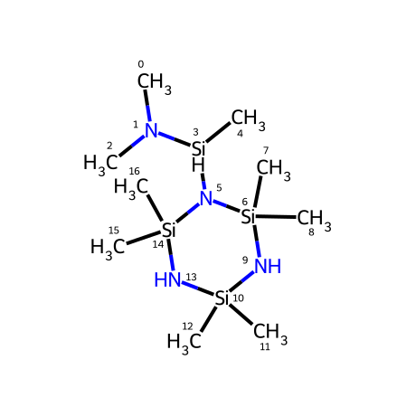 CN(C)[SiH](C)N1[Si](C)(C)N[Si](C)(C)N[Si]1(C)C